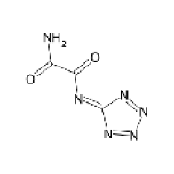 NC(=O)C(=O)N=C1N=NN=N1